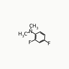 CN(C)c1ccc(F)cc1F